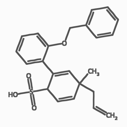 C=CCC1(C)C=CC(S(=O)(=O)O)C(c2ccccc2OCc2ccccc2)=C1